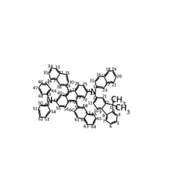 CC1(C)c2ccccc2-c2ccc(N(c3ccc4ccccc4c3)c3ccc4c(-c5ccc6ccccc6c5)c5cc(N(c6ccccc6)c6ccccc6)ccc5c(-c5ccc6ccccc6c5)c4c3)cc21